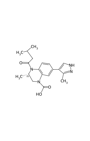 Cc1n[nH]cc1-c1ccc2c(c1)N(C(=O)O)C[C@H](C)N2C(=O)CC(C)C